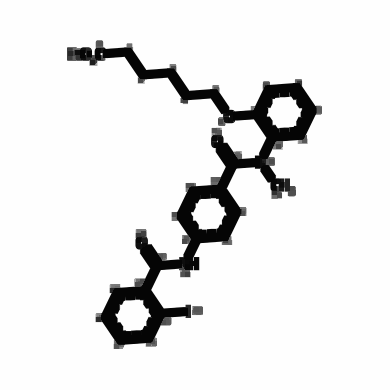 CCOC(=O)CCCCCOc1ccccc1N(C)C(=O)c1ccc(NC(=O)c2ccccc2I)cc1